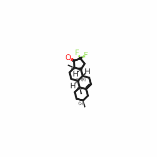 C[C@H]1CC[C@@]2(C)C(=CC[C@@H]3[C@@H]2CC[C@]2(C)C(=O)C(F)(F)C[C@@H]32)C1